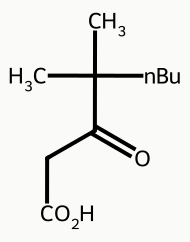 CCCCC(C)(C)C(=O)CC(=O)O